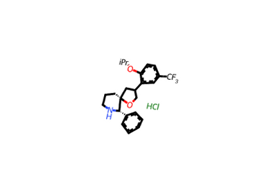 CC(C)Oc1ccc(C(F)(F)F)cc1C1CO[C@]2(CCCN[C@H]2c2ccccc2)C1.Cl